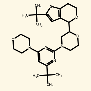 CC(C)(C)c1cc(N2CCOCC2)nc(N2CCOC(C3OCCc4sc(C(C)(C)C)cc43)C2)n1